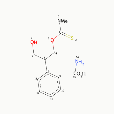 CNC(=S)OCC(CO)c1ccccc1.NC(=O)O